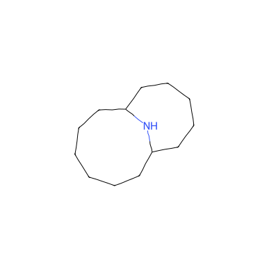 C1CCCC2CCCCCC(CC1)N2